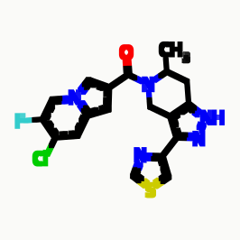 CC1Cc2[nH]nc(-c3cscn3)c2CN1C(=O)c1cc2cc(Cl)c(F)cn2c1